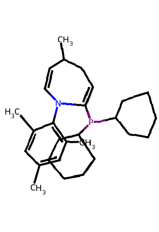 Cc1cc(C)c(N2C=CC(C)CC=C2P(C2CCCCC2)C2CCCCC2)c(C)c1